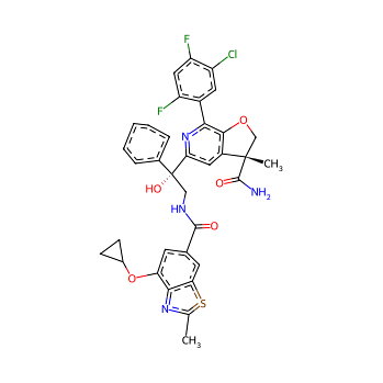 Cc1nc2c(OC3CC3)cc(C(=O)NC[C@@](O)(c3ccccc3)c3cc4c(c(-c5cc(Cl)c(F)cc5F)n3)OC[C@]4(C)C(N)=O)cc2s1